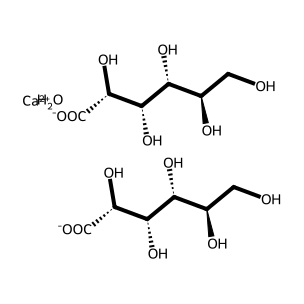 O.O=C([O-])[C@H](O)[C@@H](O)[C@H](O)[C@H](O)CO.O=C([O-])[C@H](O)[C@@H](O)[C@H](O)[C@H](O)CO.[Ca+2]